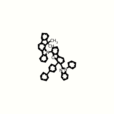 CC1(C)c2ccccc2-c2ccc3c4ccccc4n(-c4cccc5c4oc4c(-c6ccc(-c7ccccc7)cc6)c(-c6nc7ccccc7n6-c6ccccc6)ccc45)c3c21